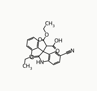 CCOC(=O)C(C(=O)O)C1(c2ccccc2OCC)C(=O)Nc2ccc(C#N)cc21